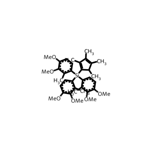 COc1ccc([Si](C2=C(C)C(C)=C(C)C2C)(c2ccc(OC)c(OC)c2C)c2ccc(OC)c(OC)c2C)c(C)c1OC